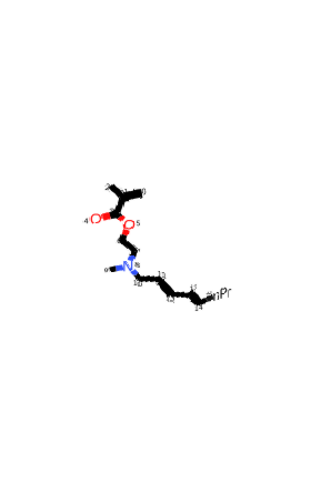 C=C(C)C(=O)OCCN(C)C/C=C/C=C/CCC